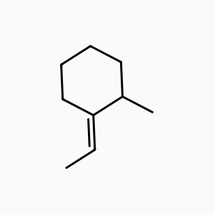 CC=C1CCCCC1C